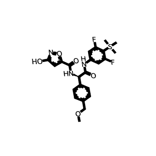 COCc1ccc([C@@H](NC(=O)c2cc(O)no2)C(=O)Nc2cc(F)c(S(C)(C)C)c(F)c2)cc1